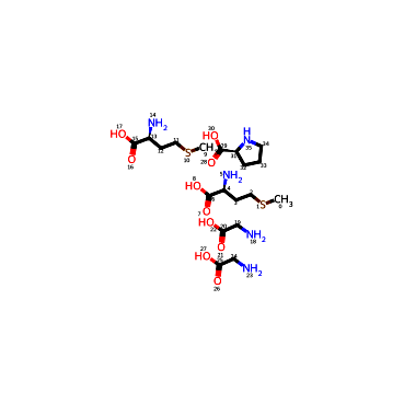 CSCC[C@H](N)C(=O)O.CSCC[C@H](N)C(=O)O.NCC(=O)O.NCC(=O)O.O=C(O)[C@@H]1CCCN1